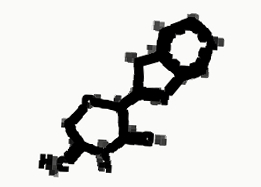 C=C1COC(C2=Nc3cnccc3C2)C(=O)N1